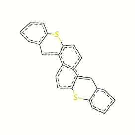 C1=c2c(ccc3c4c(ccc23)Sc2ccccc2C=4)Sc2ccccc21